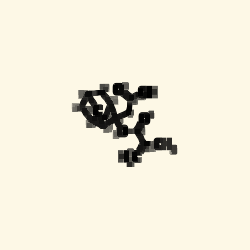 C=C(C)C(=O)OC1(CC(=O)O)C2CC3CC(C2)C1C3